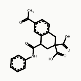 CC(=O)c1ccc2c(c1)C(C(=O)Nc1ccccc1)CC(C(=O)O)(C(=O)O)C2